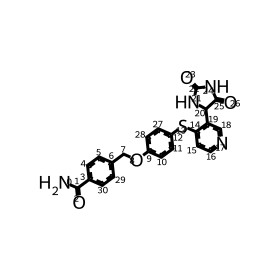 NC(=O)c1ccc(COc2ccc(Sc3ccncc3C3NC(=O)NC3=O)cc2)cc1